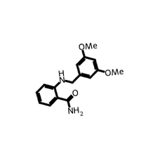 COc1cc(CNc2ccccc2C(N)=O)cc(OC)c1